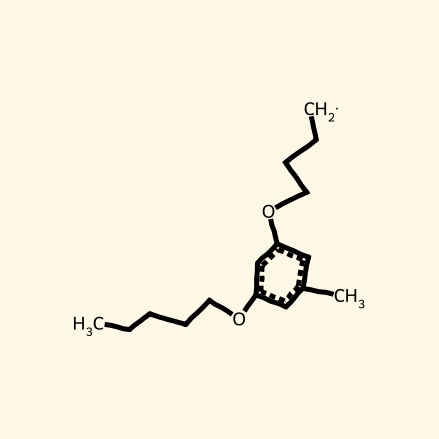 [CH2]CCCOc1cc(C)cc(OCCCCC)c1